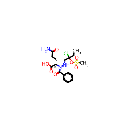 CCC(Cl)(CNN(C(=O)c1ccccc1)[C@@H](CCC(N)=O)C(=O)O)OS(C)(=O)=O